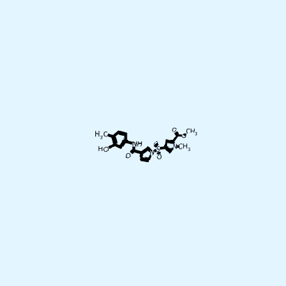 COC(=O)c1cc(S(=O)(=O)n2ccc(C(=O)Nc3ccc(C)c(O)c3)c2)cn1C